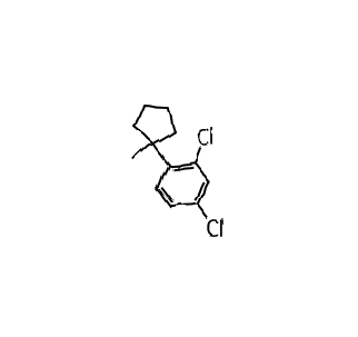 CC1(c2ccc(Cl)cc2Cl)CCCC1